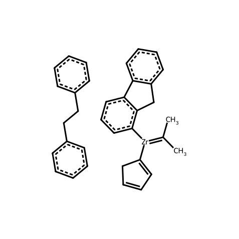 C[C](C)=[Zr]([C]1=CC=CC1)[c]1cccc2c1Cc1ccccc1-2.c1ccc(CCc2ccccc2)cc1